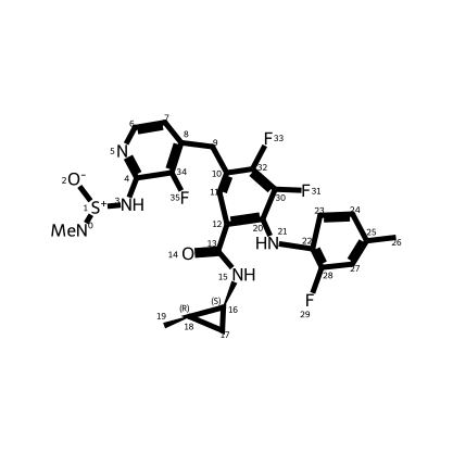 CN[S+]([O-])Nc1nccc(Cc2cc(C(=O)N[C@H]3C[C@H]3C)c(Nc3ccc(C)cc3F)c(F)c2F)c1F